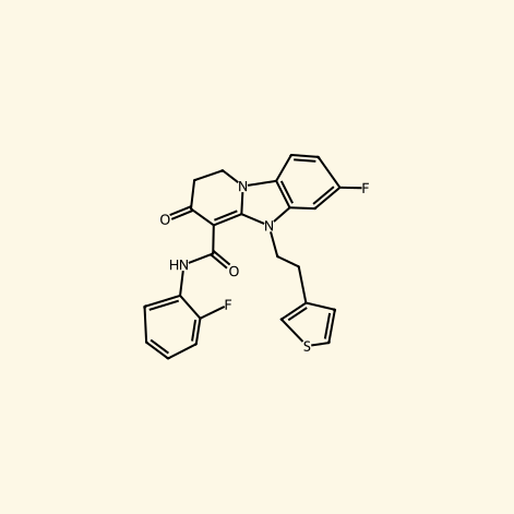 O=C1CCN2C(=C1C(=O)Nc1ccccc1F)N(CCc1ccsc1)c1cc(F)ccc12